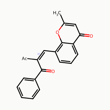 CC(=O)/C(=C/c1cccc2c(=O)cc(C)oc12)C(=O)c1ccccc1